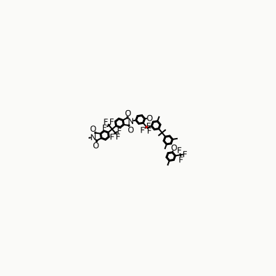 Cc1ccc(Oc2c(C)cc(C(C)(C)c3cc(C)c(Oc4ccc(N5C(=O)c6ccc(C(c7ccc8c(c7)C(=O)N(C)C8=O)(C(F)(F)F)C(F)(F)F)cc6C5=O)cc4C(F)(F)F)c(C)c3)cc2C)c(C(F)(F)F)c1